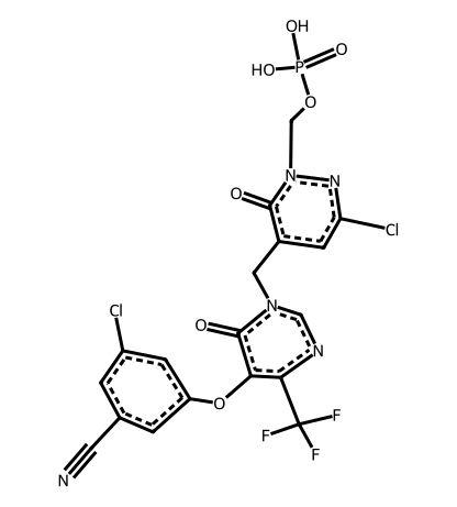 N#Cc1cc(Cl)cc(Oc2c(C(F)(F)F)ncn(Cc3cc(Cl)nn(COP(=O)(O)O)c3=O)c2=O)c1